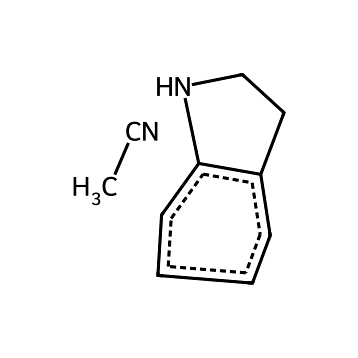 CC#N.c1ccc2c(c1)CCN2